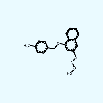 Cc1ccc(COc2cc(SOOO)cc3ccccc23)cc1